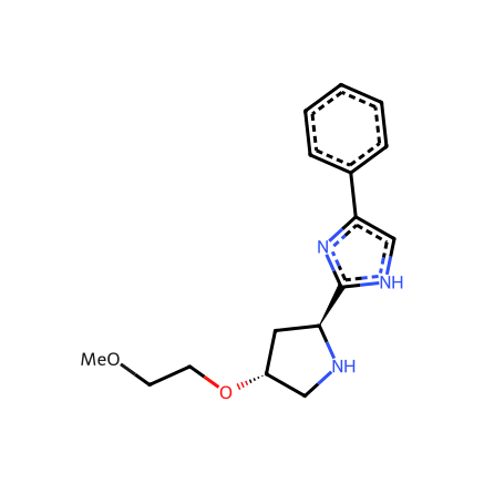 COCCO[C@H]1CN[C@H](c2nc(-c3ccccc3)c[nH]2)C1